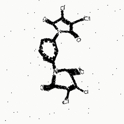 O=C1C(Cl)=C(Cl)C(=O)N1c1cccc(N2C(=O)C(Cl)=C(Cl)C2=O)c1